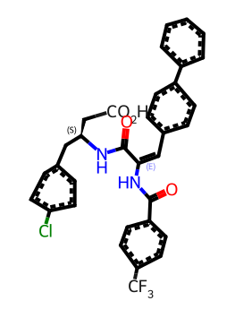 O=C(O)C[C@H](Cc1ccc(Cl)cc1)NC(=O)/C(=C\c1ccc(-c2ccccc2)cc1)NC(=O)c1ccc(C(F)(F)F)cc1